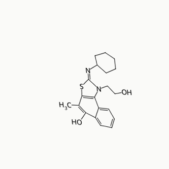 Cc1c(O)c2ccccc2c2c1sc(=NC1CCCCC1)n2CCO